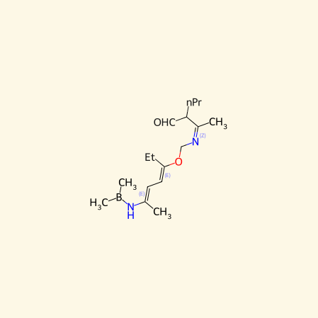 CCCC(C=O)/C(C)=N\CO/C(=C/C=C(\C)NB(C)C)CC